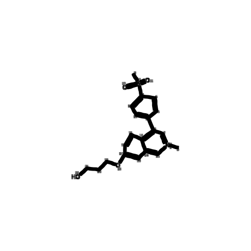 C[n+]1cc(-c2ccc(S(C)(=O)=O)cc2)c2ccc(OCCCO)cc2c1